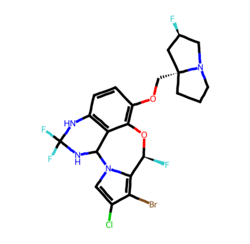 F[C@H]1CN2CCC[C@@]2(COc2ccc3c4c2O[C@@H](F)c2c(Br)c(Cl)cn2C4NC(F)(F)N3)C1